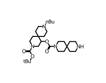 CCCCN1CCC2(CC1)CCN(C(=O)OC(C)(C)C)CC2OC(=O)N1CCC2(CCNCC2)CC1